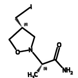 C[C@@H](C(N)=O)N1C[C@@H](CI)CO1